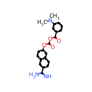 CN(C)c1cccc(C(=O)OC(=O)Oc2ccc3cc(C(=N)N)ccc3c2)c1